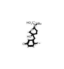 CC(C)(C)N(C(=O)O)C1CCC(O)(Cc2cc(Cl)ccc2F)CC1